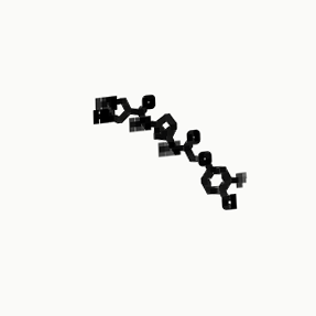 O=C(COc1ccc(Cl)c(F)c1)NC1CC2(NC(=O)C3CNNC3)CC1C2